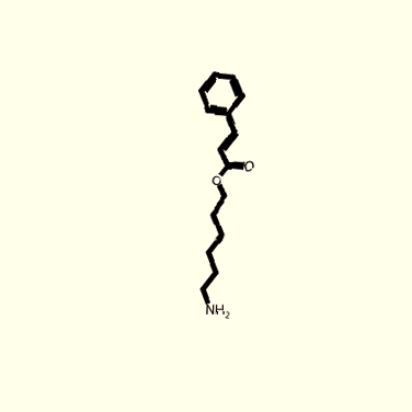 NCCCCCCOC(=O)/C=C/c1ccccc1